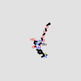 C#CCOCCOCCOCC(=O)NC(C(=O)N1C[C@H](O)C[C@H]1C(=O)NCc1ccc(-c2scnc2C)cc1)C(C)(C)C